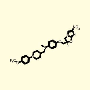 CN(CC1CCN(c2ccc(OC(F)(F)F)cc2)CC1)c1ccc(OC[C@@]2(C)Cn3cc([N+](=O)[O-])nc3O2)cc1